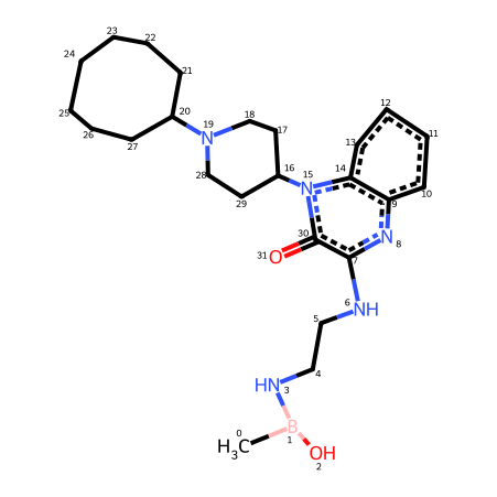 CB(O)NCCNc1nc2ccccc2n(C2CCN(C3CCCCCCC3)CC2)c1=O